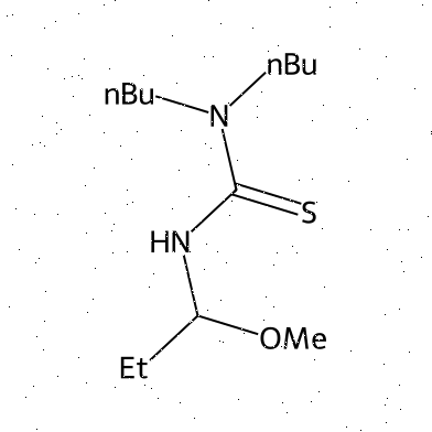 CCCCN(CCCC)C(=S)NC(CC)OC